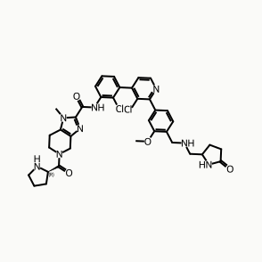 COc1cc(-c2nccc(-c3cccc(NC(=O)c4nc5c(n4C)CCN(C(=O)[C@H]4CCCN4)C5)c3Cl)c2Cl)ccc1CNCC1CCC(=O)N1